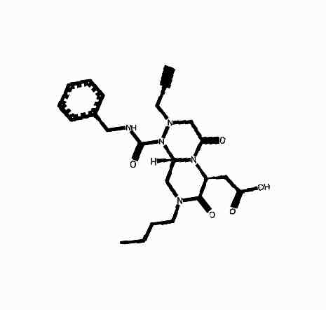 C#CCN1CC(=O)N2[C@@H](CC(=O)O)C(=O)N(CCCC)C[C@@H]2N1C(=O)NCc1ccccc1